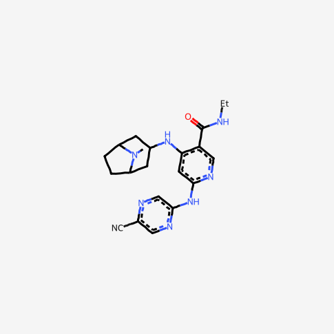 CCNC(=O)c1cnc(Nc2cnc(C#N)cn2)cc1NC1CC2CCC(C1)N2C